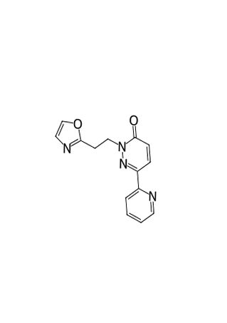 O=c1ccc(-c2ccccn2)nn1CCc1ncco1